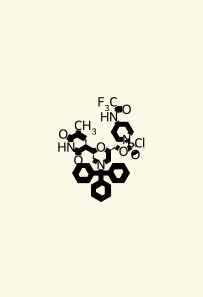 CC1=C[C@H]([C@H]2CN(C(c3ccccc3)(c3ccccc3)c3ccccc3)C[C@@H](COP(=O)(Cl)N3CCC(NC(=O)C(F)(F)F)CC3)O2)C(=O)NC1=O